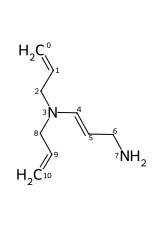 C=CCN(C=CCN)CC=C